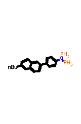 CCCCc1ccc2cc(-c3ccc(N(P)P)cc3)ccc2c1